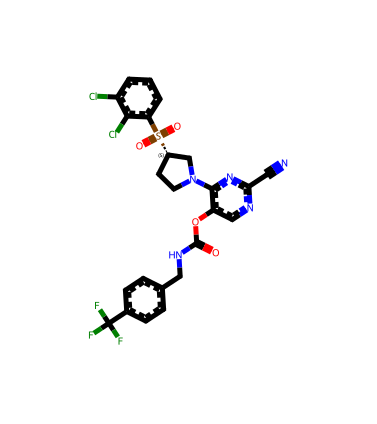 N#Cc1ncc(OC(=O)NCc2ccc(C(F)(F)F)cc2)c(N2CC[C@H](S(=O)(=O)c3cccc(Cl)c3Cl)C2)n1